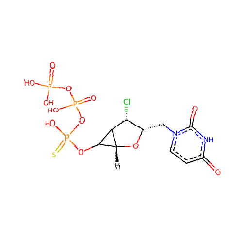 O=c1ccn(C[C@@H]2O[C@@H]3C(OP(O)(=S)OP(=O)(O)OP(=O)(O)O)C3[C@@H]2Cl)c(=O)[nH]1